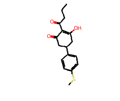 CCCC(=O)C1=C(O)CC(c2ccc(SC)cc2)CC1=O